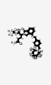 [2H]C1([2H])N(Cc2ccc(COc3cccc4c3CN(C(CCC(N)=O)C(=O)OC(C)(C)C)C4=O)cc2)C([2H])([2H])C([2H])([2H])C([2H])([2H])C1([2H])[2H]